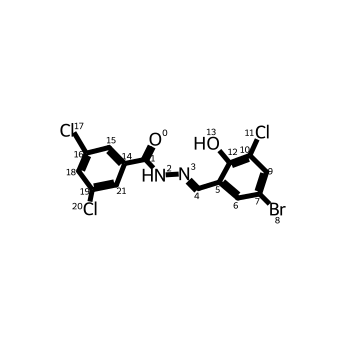 O=C(NN=Cc1cc(Br)cc(Cl)c1O)c1cc(Cl)cc(Cl)c1